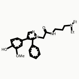 CCN(CC)CCCNC(=O)Cn1ncc(-c2ccc(O)c(OC)c2)c1-c1ccccc1